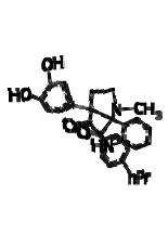 CCCc1ccc(C(=O)C2(c3ccc(O)c(O)c3)CCN(C)C23C(=O)Nc2ccccc23)cc1